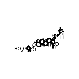 Cc1cc(CNCC[C@@]23CC[C@]4(C)[C@H](CC[C@@H]5[C@@]6(C)CC[C@H](OC(=O)[C@H]7C[C@@H](C(=O)O)C7(C)C)C(C)(C)[C@@H]6CC[C@]54C)C2=C(C(C)C)C(=O)C3)[nH]n1